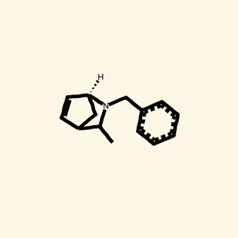 CC1C2C=C[C@H](C2)N1Cc1ccccc1